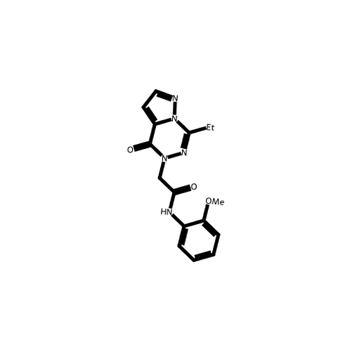 CCc1nn(CC(=O)Nc2ccccc2OC)c(=O)c2ccnn12